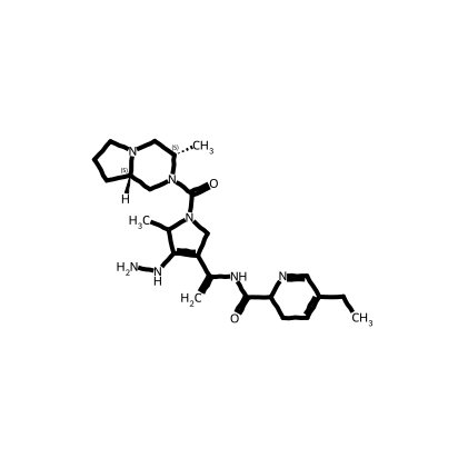 C=C(NC(=O)C1CC=C(CC)C=N1)C1=C(NN)C(C)N(C(=O)N2C[C@@H]3CCCN3C[C@@H]2C)C1